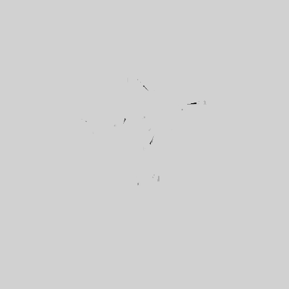 CC[C@@H](N)C1CC[C@H](N)[C@@H](O[C@H]2[C@H](O)[C@@H](O)[C@H](N)C[C@@H]2N)O1